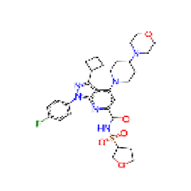 O=C(NS(=O)(=O)C1CCOC1)c1cc(N2CCC(N3CCOCC3)CC2)c2c(C3CCC3)nn(-c3ccc(F)cc3)c2n1